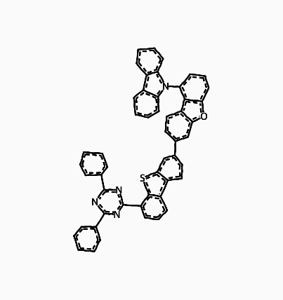 c1ccc(-c2nc(-c3ccccc3)nc(-c3cccc4c3sc3cc(-c5ccc6c(c5)oc5cccc(-n7c8ccccc8c8ccccc87)c56)ccc34)n2)cc1